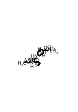 C/C(N)=C/C(=N)Nc1nc(N[C@@H]2C[C@H]3CC(C(=O)CN(C)C)C[C@@H](C2)N3)nc2ccsc12